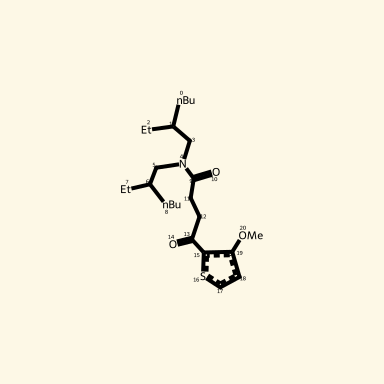 CCCCC(CC)CN(CC(CC)CCCC)C(=O)CCC(=O)c1sccc1OC